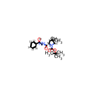 CC1(C)C[C@@H](C(=O)NCC(=O)c2ccccc2)N(C(=O)OC(C)(C)C)C1